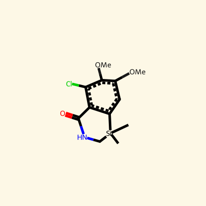 COc1cc2c(c(Cl)c1OC)C(=O)NC[Si]2(C)C